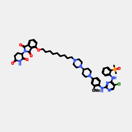 COc1cc(N2CCC(N3CCN(CCCCCCCCCOc4cccc5c4C(=O)N(C4CCC(=O)NC4=O)C5=O)CC3)CC2)ccc1Nc1ncc(Cl)c(Nc2ccccc2P(C)(C)=O)n1